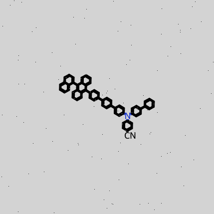 N#Cc1ccc(N(c2ccc(-c3ccccc3)cc2)c2ccc(-c3ccc(-c4ccc(-c5c6ccccc6c(-c6cccc7ccccc67)c6ccccc56)cc4)cc3)cc2)cc1